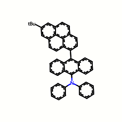 CC(C)(C)c1cc2ccc3ccc(-c4c5ccccc5c(N(c5ccccc5)c5ccccc5)c5ccccc45)c4ccc(c1)c2c34